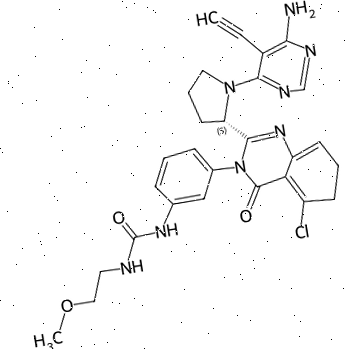 C#Cc1c(N)ncnc1N1CCC[C@H]1c1nc2c(c(=O)n1-c1cccc(NC(=O)NCCOC)c1)=C(Cl)CCC=2